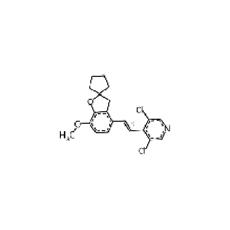 COc1ccc(/C=C/c2c(Cl)cncc2Cl)c2c1OC1(CCCC1)C2